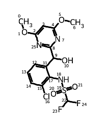 COc1cc(OC)nc(C(O)c2cccc(Cl)c2NS(=O)(=O)C(F)F)n1